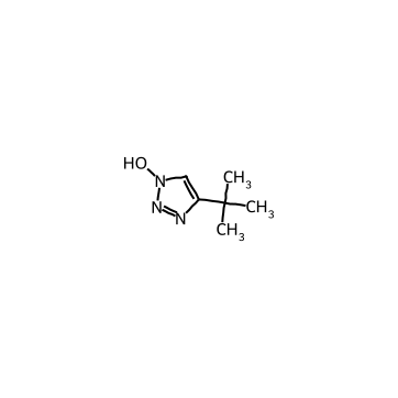 CC(C)(C)c1cn(O)nn1